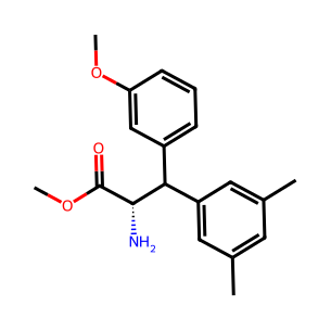 COC(=O)[C@@H](N)C(c1cc(C)cc(C)c1)c1cccc(OC)c1